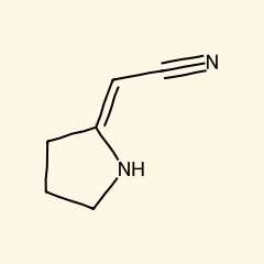 N#CC=C1CCCN1